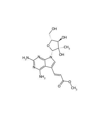 COC(=O)C=Cc1cn([C@@H]2O[C@H](CO)[C@@H](O)[C@@]2(C)O)c2nc(N)nc(N)c12